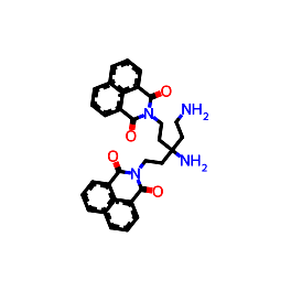 NCCC(N)(CCN1C(=O)c2cccc3cccc(c23)C1=O)CCN1C(=O)c2cccc3cccc(c23)C1=O